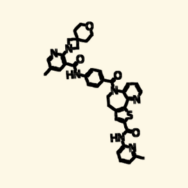 Cc1cnc(N2CC3(CCOCC3)C2)c(C(=O)Nc2ccc(C(=O)N3CCc4cc(C(=O)Nc5cccc(C)n5)sc4-c4ncccc43)cc2)c1